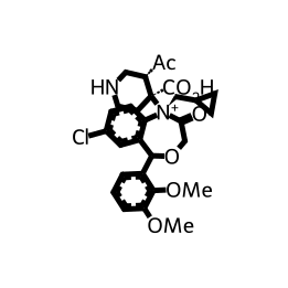 COc1cccc(C2OCC(=O)[N@@+](CC3CC3)([C@@]3(C(=O)O)CCNC[C@@H]3C(C)=O)c3ccc(Cl)cc32)c1OC